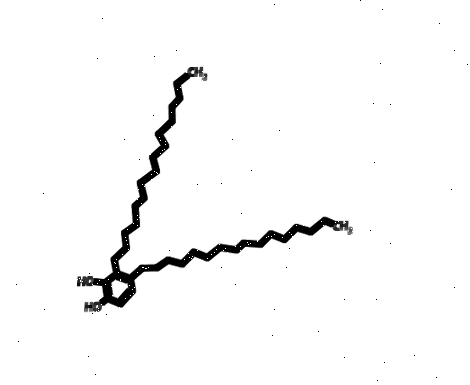 CCCCCCCCCCCCCCCCc1ccc(O)c(O)c1CCCCCCCCCCCCCCCC